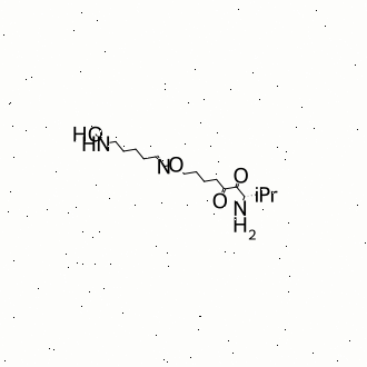 CC(C)[C@H](N)C(=O)C(=O)CCCCO/N=C/CCCCNO